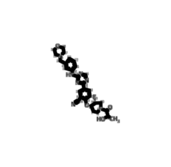 CC(O)C(=O)N1CC[C@H](Oc2ccc(-c3ncnc(Nc4cccc(CN5CCOCC5)c4)n3)cc2C#N)[C@H](F)C1